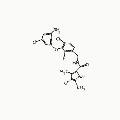 Cc1[nH]c(C(=O)NCc2ccc(Cl)c(Oc3cc(N)cc(Cl)c3)c2F)c(C)c1Cl